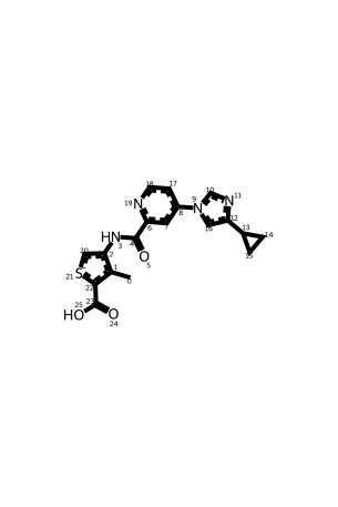 Cc1c(NC(=O)c2cc(-n3cnc(C4CC4)c3)ccn2)csc1C(=O)O